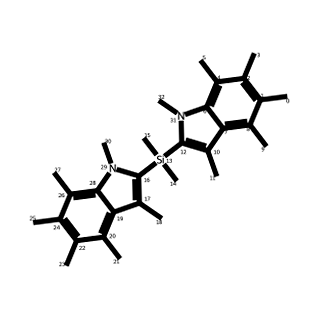 Cc1c(C)c(C)c2c(c1C)c(C)c([Si](C)(C)c1c(C)c3c(C)c(C)c(C)c(C)c3n1C)n2C